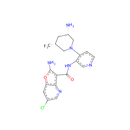 Nc1oc2cc(Cl)cnc2c1C(=O)Nc1cnccc1N1C[C@@H](N)C[C@@H](C(F)(F)F)C1